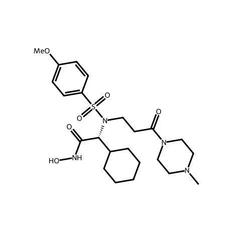 COc1ccc(S(=O)(=O)N(CCC(=O)N2CCN(C)CC2)[C@@H](C(=O)NO)C2CCCCC2)cc1